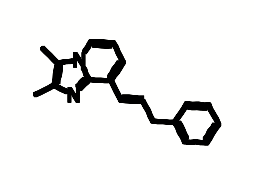 Cc1nc2c(/C=C/Cc3ccccc3)cccn2c1C